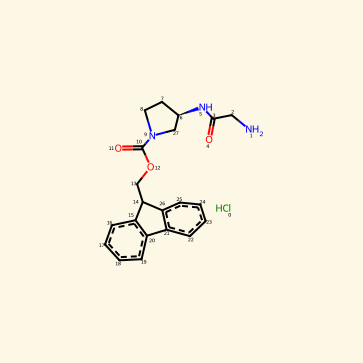 Cl.NCC(=O)N[C@@H]1CCN(C(=O)OCC2c3ccccc3-c3ccccc32)C1